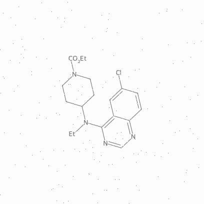 CCOC(=O)N1CCC(N(CC)c2ncnc3ccc(Cl)cc23)CC1